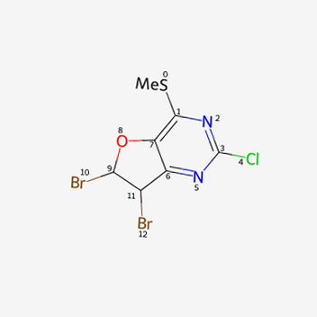 CSc1nc(Cl)nc2c1OC(Br)C2Br